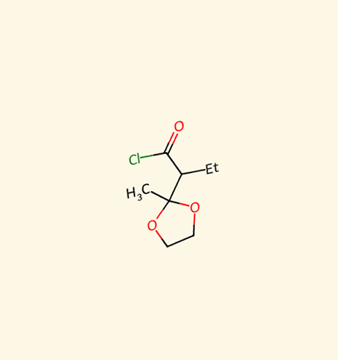 CCC(C(=O)Cl)C1(C)OCCO1